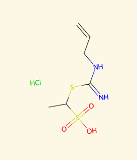 C=CCNC(=N)SC(C)S(=O)(=O)O.Cl